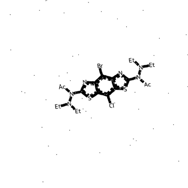 CCN(CC)N(C(C)=O)c1nc2c(Br)c3nc(N(C(C)=O)N(CC)CC)sc3c(Cl)c2s1